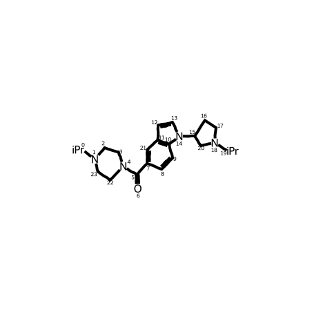 CC(C)N1CCN(C(=O)c2ccc3c(ccn3C3CCN(C(C)C)C3)c2)CC1